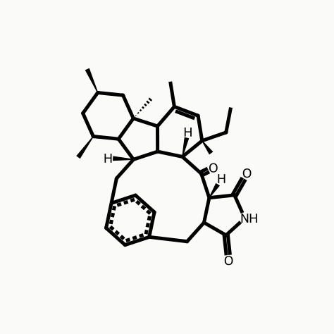 CC[C@@]1(C)C=C(C)C2C3[C@H](Cc4ccc(cc4)CC4C(=O)NC(=O)[C@H]4C(=O)[C@H]31)C1[C@@H](C)C[C@@H](C)C[C@@]21C